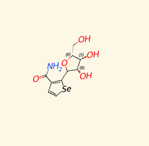 NC(=O)c1cc[se]c1C1O[C@H](CO)[C@@H](O)[C@H]1O